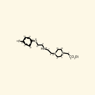 CCOC(=O)CN1CCN(CCNCCOc2ccc(F)cc2)CC1